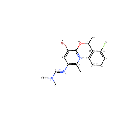 CCN(C)/C=N/c1cc(Br)c(OC(C)c2ccccc2F)nc1C